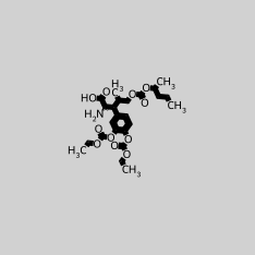 CCCC(C)OC(=O)OCC(C)C(c1ccc(OC(=O)OCC)c(OC(=O)OCC)c1)[C@H](N)C(=O)O